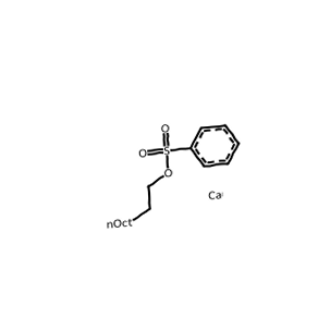 CCCCCCCCCCOS(=O)(=O)c1ccccc1.[Ca]